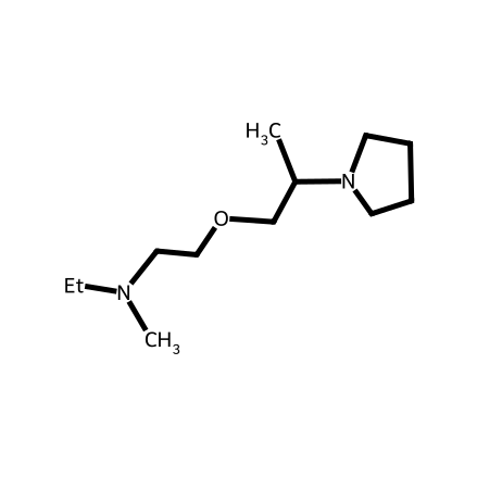 CCN(C)CCOCC(C)N1CCCC1